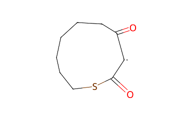 O=C1[CH]C(=O)SCCCCCC1